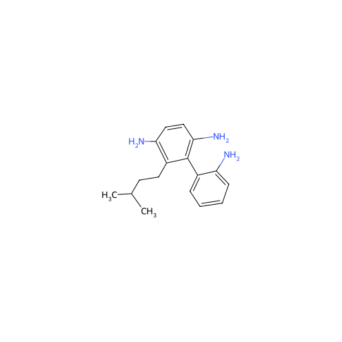 CC(C)CCc1c(N)ccc(N)c1-c1ccccc1N